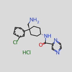 Cl.NC[C@]1(c2cccc(Cl)c2)CC[C@@H](NC(=O)c2cnccn2)CC1